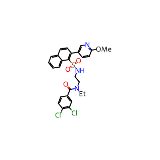 CCN(CCNS(=O)(=O)c1c(-c2ccc(OC)nc2)ccc2ccccc12)C(=O)c1ccc(Cl)c(Cl)c1